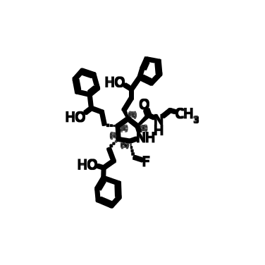 CCNC(=O)[C@H]1N[C@H](CF)[C@H](CCC(O)c2ccccc2)[C@H](CCC(O)c2ccccc2)[C@H]1CCC(O)c1ccccc1